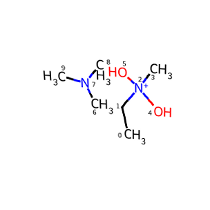 CC[N+](C)(O)O.CN(C)C